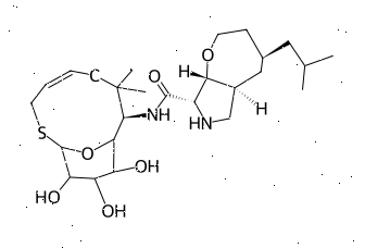 CC(C)C[C@@H]1CCO[C@@H]2[C@H](CN[C@@H]2C(=O)N[C@H]2C3OC(SC/C=C\CC2(C)C)C(O)C(O)C3O)C1